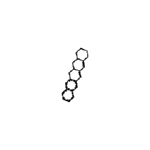 C1=C2C=C3CCCCC3CC2Cc2cc3ccccc3cc21